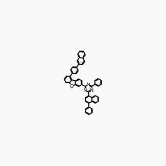 c1ccc(-c2nc(-c3ccc4c(c3)oc3cccc(-c5ccc(-c6ccc7ccccc7c6)cc5)c34)nc(-c3ccc(-c4ccccc4)c4ccccc34)n2)cc1